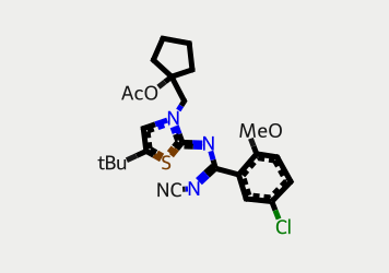 COc1ccc(Cl)cc1C(=NC#N)N=c1sc(C(C)(C)C)cn1CC1(OC(C)=O)CCCC1